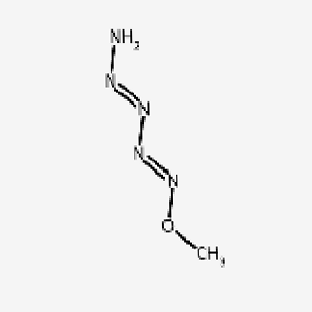 CON=NN=NN